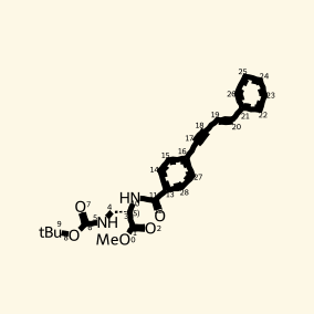 COC(=O)[C@H](CNC(=O)OC(C)(C)C)NC(=O)c1ccc(C#CC=Cc2ccccc2)cc1